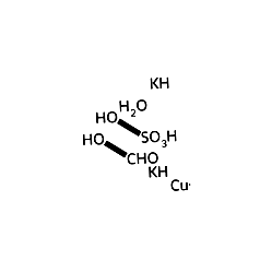 O.O=CO.O=S(=O)(O)O.[Cu].[KH].[KH]